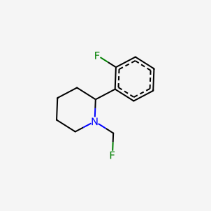 FCN1CCCCC1c1ccccc1F